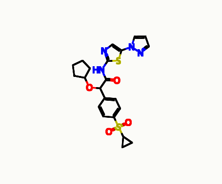 O=C(Nc1ncc(-n2cccn2)s1)C(OC1CCCC1)c1ccc(S(=O)(=O)C2CC2)cc1